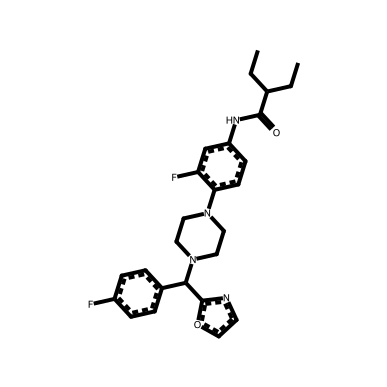 CCC(CC)C(=O)Nc1ccc(N2CCN(C(c3ccc(F)cc3)c3ncco3)CC2)c(F)c1